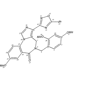 COc1ccc(CN2Cc3c(-c4noc(C(C)C)n4)ncn3-c3ccc(OC)cc3C2=O)c(OC)c1